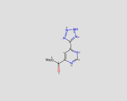 COC(=O)c1cc(-c2nn[nH]n2)ncn1